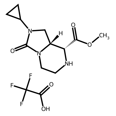 COC(=O)[C@@H]1NCCN2C(=O)N(C3CC3)C[C@H]12.O=C(O)C(F)(F)F